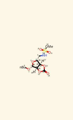 CCCCO[C@@H]1O[C@H](CNS(=O)(=O)OC)[C@H]2OC(=O)O[C@@H]12